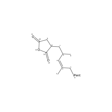 CCCC(C)CC(C)=CC(C)CC1CC(=O)OC1=O